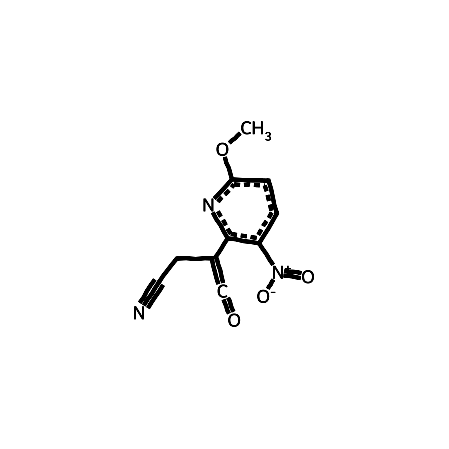 COc1ccc([N+](=O)[O-])c(C(=C=O)CC#N)n1